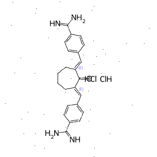 Cl.Cl.N=C(N)c1ccc(/C=C2\CCCC/C(=C\c3ccc(C(=N)N)cc3)C2=O)cc1